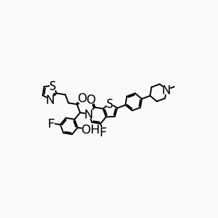 CN1CCC(c2ccc(-c3cc4c(F)cn(C(C(=O)CCc5nccs5)c5cc(F)ccc5O)c(=O)c4s3)cc2)CC1